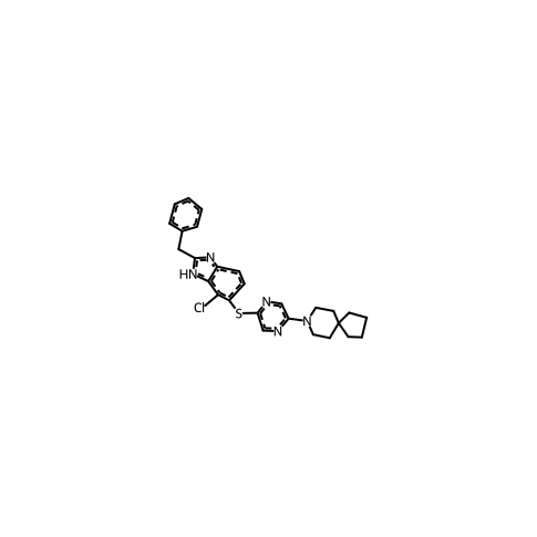 Clc1c(Sc2cnc(N3CCC4(CCCC4)CC3)cn2)ccc2nc(Cc3ccccc3)[nH]c12